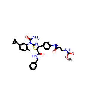 Cc1ccc(C2CC2)cc1N(C(N)=O)c1nc(-c2ccc(NC(=O)CCNC(=O)OC(C)(C)C)cc2)c(C(=O)NCc2ccccc2)s1